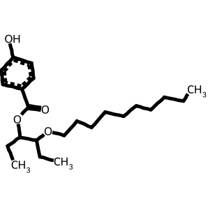 CCCCCCCCCCOC(CC)C(CC)OC(=O)c1ccc(O)cc1